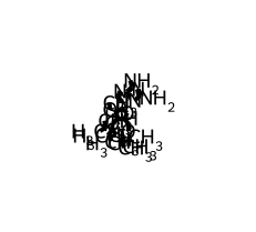 CO[C@@H]1[C@@H]2O[Si](C(C)C)(C(C)C)O[Si](C(C)C)(C(C)C)OC[C@H]2O[C@@H]1n1cnc2c(N)nc(N)nc21